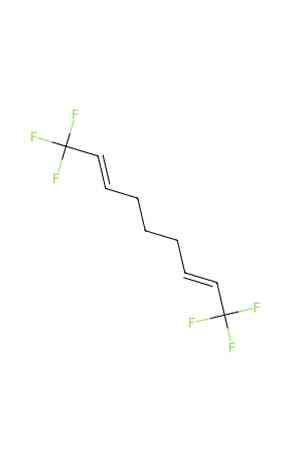 FC(F)(F)C=CCCCC=CC(F)(F)F